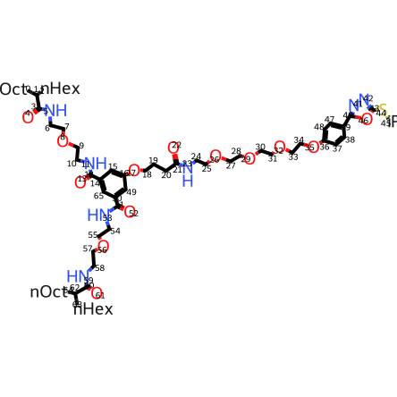 CCCCCCCCC(CCCCCC)C(=O)NCCOCCNC(=O)c1cc(OCCCC(=O)NCCOCCOCCOCCOc2ccc(-c3nnc(SC(C)C)o3)cc2)cc(C(=O)NCCOCCNC(=O)C(CCCCCC)CCCCCCCC)c1